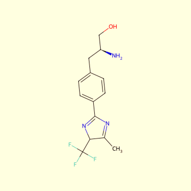 CC1=NC(c2ccc(C[C@H](N)CO)cc2)=NC1C(F)(F)F